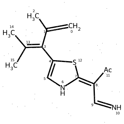 C=C(C)C(C1=CN/C(=C(\C=N)C(C)=O)S1)=C(C)C